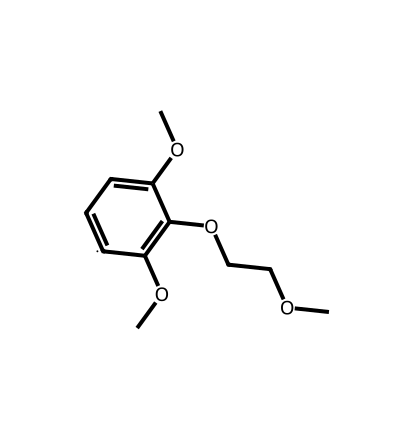 COCCOc1c(OC)[c]ccc1OC